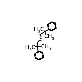 CC(C)(CSCC(C)(C)c1ccccc1)c1ccccc1